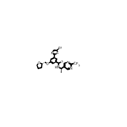 CCc1cnc(-c2cc(OC[C@@H]3CCCO3)cc(C(=O)N[C@H](C)c3cnc(C(F)(F)F)nc3)c2)s1